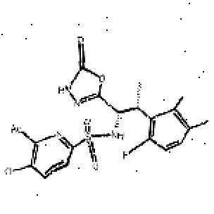 CC(=O)c1nc(S(=O)(=O)N[C@H](c2n[nH]c(=O)o2)[C@H](C)c2c(F)ccc(C)c2C)ccc1Cl